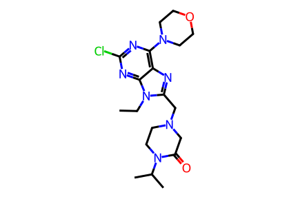 CCn1c(CN2CCN(C(C)C)C(=O)C2)nc2c(N3CCOCC3)nc(Cl)nc21